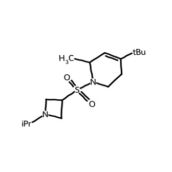 CC(C)N1CC(S(=O)(=O)N2CCC(C(C)(C)C)=CC2C)C1